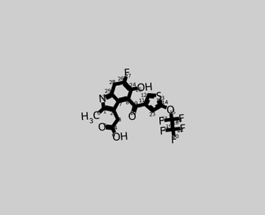 CC1=C(CC(=O)O)C2=C(C(=O)c3csc(OC(F)(F)C(F)(F)F)c3)C(O)=C(F)CC2=N1